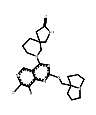 O=C1CC2(CCCN(c3nc(OCC45CCCN4CCC5)nc4c(F)c(Cl)ncc34)C2)CN1